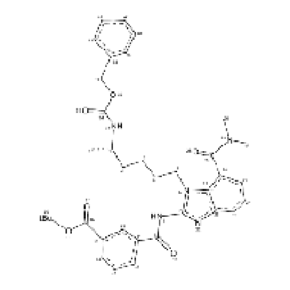 C[C@@H](CCCCn1c(NC(=O)c2cccc(C(=O)OC(C)(C)C)c2)nc2cccc(C(=O)N(C)C)c21)NC(=O)OCc1ccccc1